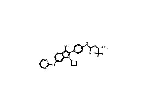 C[C@@H](OC(=O)Nc1ccc(-c2c(N)c3ccc(Oc4ncccn4)cc3n2C2CCC2)cc1)C(F)(F)F